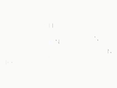 C/C(=N\CCCn1ccnc1)c1ccc(O)cc1O